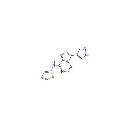 Cc1csc(Nc2nccn3c(-c4cn[nH]c4)cnc23)c1